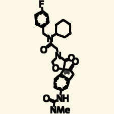 CNC(=O)Nc1ccc2c(c1)CC(=O)[C@]21OCN(CC(=O)N(Cc2ccc(F)cc2)C2CCCCC2)C1=O